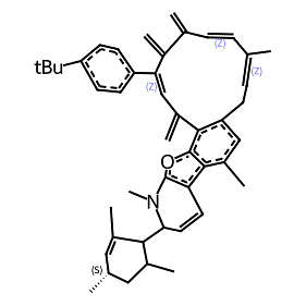 C=C1/C=C\C(C)=C/Cc2cc(C)c3c4c(oc3c2C(=C)/C=C(/c2ccc(C(C)(C)C)cc2)C1=C)N(C)C(C1C(C)=C[C@@H](C)CC1C)C=C4